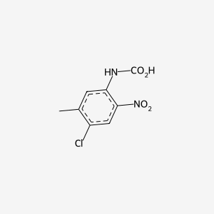 Cc1cc(NC(=O)O)c([N+](=O)[O-])cc1Cl